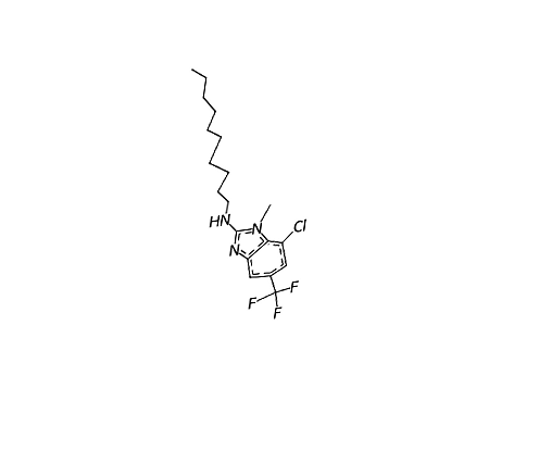 CCCCCCCCCCNc1nc2cc(C(F)(F)F)cc(Cl)c2n1C